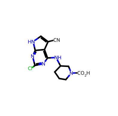 N#Cc1c[nH]c2nc(Cl)nc(NC3CCCN(C(=O)O)C3)c12